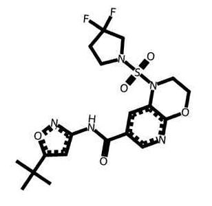 CC(C)(C)c1cc(NC(=O)c2cnc3c(c2)N(S(=O)(=O)N2CCC(F)(F)C2)CCO3)no1